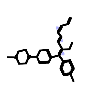 C=C\C=C/C=C/C(CC)=C(\C1=CCC(N2CCN(C)CC2)C=C1)c1ccc(C)cc1